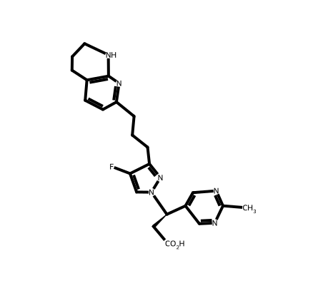 Cc1ncc([C@@H](CC(=O)O)n2cc(F)c(CCCc3ccc4c(n3)NCCC4)n2)cn1